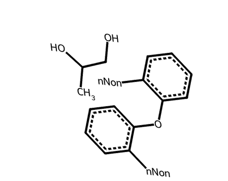 CC(O)CO.CCCCCCCCCc1ccccc1Oc1ccccc1CCCCCCCCC